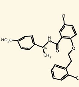 Cc1ccccc1CCOc1ccc(Cl)cc1C(=O)N[C@@H](C)c1ccc(C(=O)O)cc1